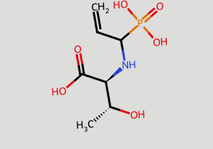 C=CC(N[C@H](C(=O)O)[C@@H](C)O)P(=O)(O)O